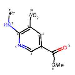 COC(=O)c1cnc(NC(C)C)c([N+](=O)[O-])c1